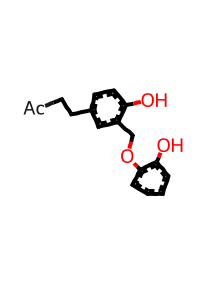 CC(=O)CCc1ccc(O)c(COc2ccccc2O)c1